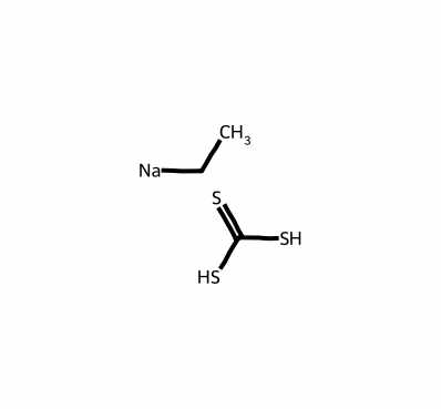 C[CH2][Na].S=C(S)S